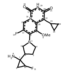 COc1c(N2CCC(C3(N)CC3F)C2)c(F)cn2c(=O)[nH]c(=O)c(C3CC3)c12